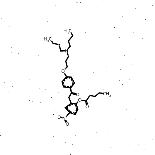 CCCCC(=O)Oc1ccc([N+](=O)[O-])cc1CC(=O)c1ccc(OCCCN(CCCC)CCCC)cc1